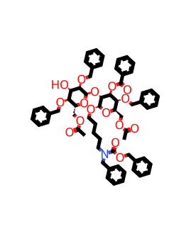 CC(=O)OC[C@H]1O[C@H](O[C@H]2[C@@H](OCCCCCN(Cc3ccccc3)C(=O)OCc3ccccc3)O[C@H](COC(C)=O)[C@@H](OCc3ccccc3)[C@@H]2OC(=O)c2ccccc2)[C@H](OCc2ccccc2)[C@@H](O)[C@@H]1OCc1ccccc1